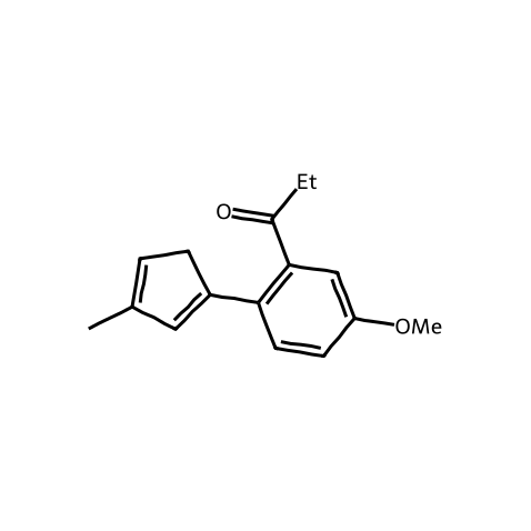 CCC(=O)c1cc(OC)ccc1C1=CC(C)=CC1